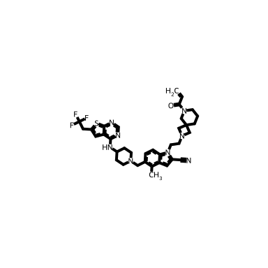 C=CC(=O)N1CCCC2(CN(CCn3c(C#N)cc4c(C)c(CN5CCC(Nc6ncnc7sc(CC(F)(F)F)cc67)CC5)ccc43)C2)C1